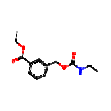 [CH2]CNC(=O)OCc1cccc(C(=O)OCC)c1